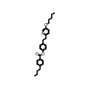 CCCCCOc1ccc(CCc2ccc(OC(=O)c3ccc(CCCC)cc3)cc2)nc1